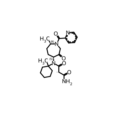 C[C@@H]1CC[C@H](N(C(=O)[CH]C(N)=O)C2(C)CCCCC2)C(=O)CN1C(=O)c1ccccn1